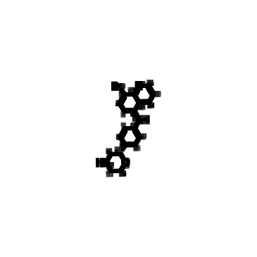 Brc1ccc(Nc2ccc([C@H]3CNCCO3)cc2)c2cccnc12